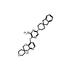 Nc1nc(N2CCC3(CC2)Cc2ccccc2C3)cnc1Sc1ccnc2c1OCC1(CCOCC1)N2